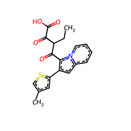 CCC(C(=O)C(=O)O)C(=O)c1c(-c2cc(C)cs2)cc2ccccn12